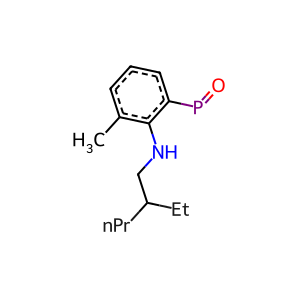 CCCC(CC)CNc1c(C)cccc1P=O